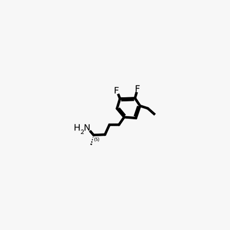 CCc1cc(CCC[C@H](C)N)cc(F)c1F